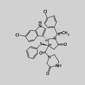 C[C@H](c1ccc(Cl)cc1)N1C(=O)C[C@](Sc2ccccc2)(C(=O)N2CCNC(=O)C2)[C@@H]1c1c[nH]c2cc(Cl)ccc12